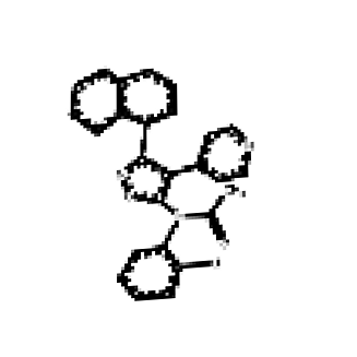 CC(=O)N(c1ccccc1Cl)c1onc(-c2cccc3ccccc23)c1-c1ccncc1